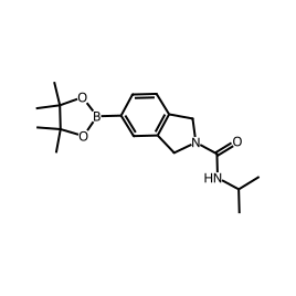 CC(C)NC(=O)N1Cc2ccc(B3OC(C)(C)C(C)(C)O3)cc2C1